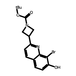 CC(C)(C)OC(=O)N1CC(c2ccc3ccc(O)c(Br)c3n2)C1